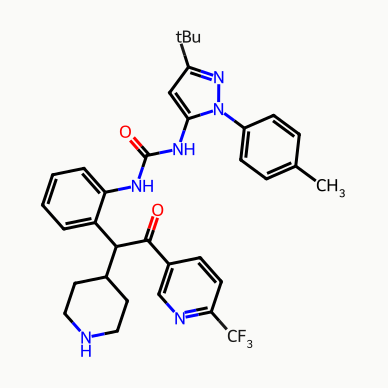 Cc1ccc(-n2nc(C(C)(C)C)cc2NC(=O)Nc2ccccc2C(C(=O)c2ccc(C(F)(F)F)nc2)C2CCNCC2)cc1